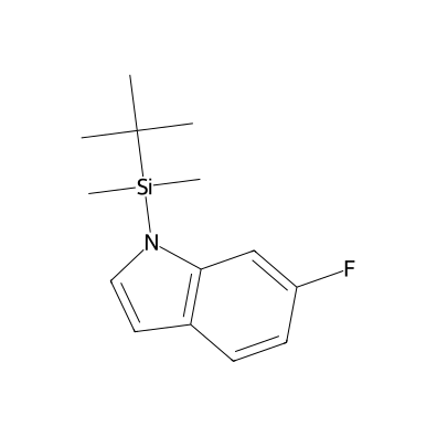 CC(C)(C)[Si](C)(C)n1ccc2ccc(F)cc21